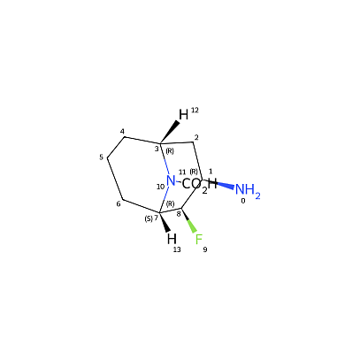 N[C@@H]1C[C@H]2CCC[C@@H]([C@@H]1F)N2C(=O)O